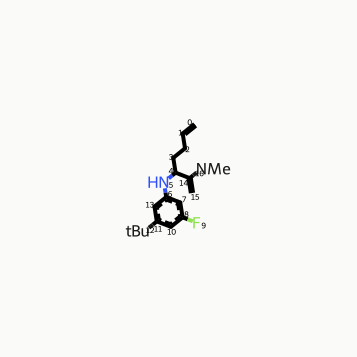 C=CCCC(Nc1cc(F)cc(C(C)(C)C)c1)C(=C)NC